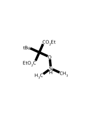 CCOC(=O)C(O[SiH](C)C)(C(=O)OCC)C(C)(C)C